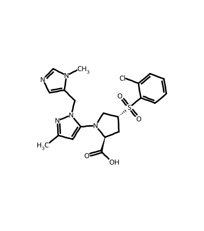 Cc1cc(N2C[C@H](S(=O)(=O)c3ccccc3Cl)C[C@H]2C(=O)O)n(Cc2cncn2C)n1